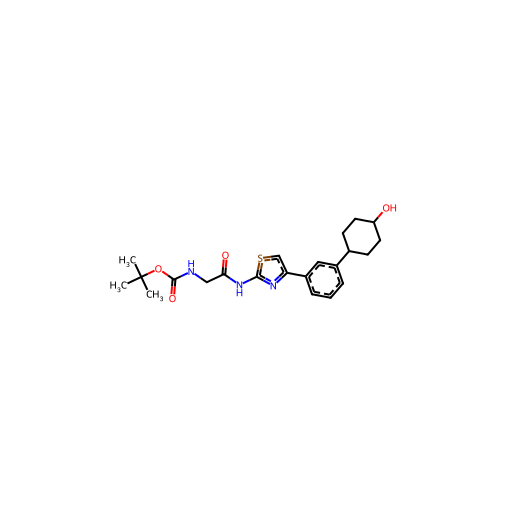 CC(C)(C)OC(=O)NCC(=O)Nc1nc(-c2cccc(C3CCC(O)CC3)c2)cs1